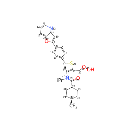 CC(C)N(c1cc(-c2ccc(-c3cc4ncccc4o3)cc2)sc1COO)C(=O)[C@H]1CC[C@H](C(F)(F)F)CC1